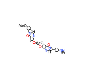 COc1ccc2c(c1)CN1C(=O)c3cc(C)c(OCCCOc4cc5c(cc4OC)C(=O)N4C=C(c6ccc(NC(C)C)cc6)C[C@H]4C=N5)cc3N=C[C@@H]1C2